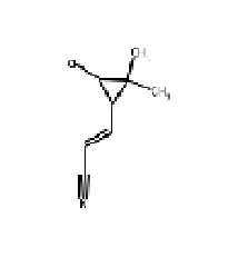 CC1(C)C(Cl)C1C=CC#N